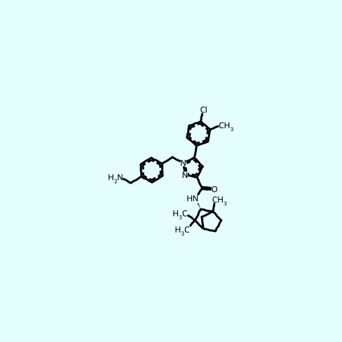 Cc1cc(-c2cc(C(=O)N[C@@H]3C4(C)CCC(C4)C3(C)C)nn2Cc2ccc(CN)cc2)ccc1Cl